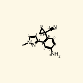 Cn1ccc(-c2cc(N)ccc2C2(C#N)CC2)n1